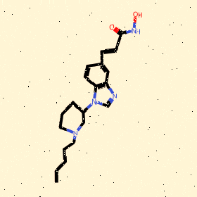 CCCCCN1CCCC(n2cnc3cc(C=CC(=O)NO)ccc32)C1